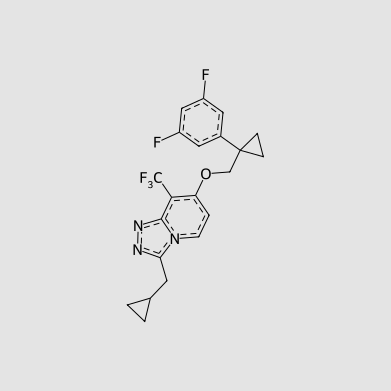 Fc1cc(F)cc(C2(COc3ccn4c(CC5CC5)nnc4c3C(F)(F)F)CC2)c1